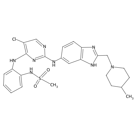 CC1CCN(Cc2nc3ccc(Nc4ncc(Cl)c(Nc5ccccc5NS(C)(=O)=O)n4)cc3[nH]2)CC1